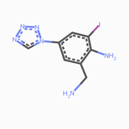 NCc1cc(-n2cnnn2)cc(I)c1N